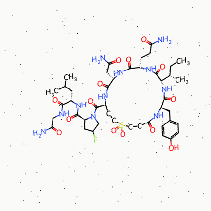 CC[C@H](C)[C@@H]1NC(=O)[C@@H](Cc2ccc(O)cc2)NC(=O)CCS(=O)(=O)CC[C@@H](C(=O)N2C[C@@H](F)C[C@H]2C(=O)N[C@@H](CC(C)C)C(=O)NCC(N)=O)NC(=O)[C@H](CC(N)=O)NC(=O)[C@H](CCC(N)=O)NC1=O